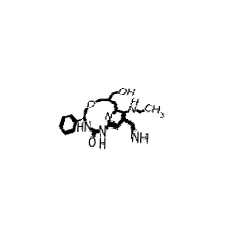 CCNc1c(C=N)cc2nc1CC(CO)COC[C@H](c1ccccc1)NC(=O)N2